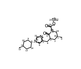 C[C@H]1CC(Cc2cn([C@H]3CC[C@H](C)CC3)cn2)C(=O)N(C(=O)OC(C)(C)C)C1